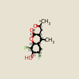 CC(=O)Cc1c(C)c2cc(F)c(O)c(F)c2oc1=O